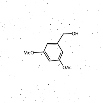 COc1cc([CH]O)cc(OC(C)=O)c1